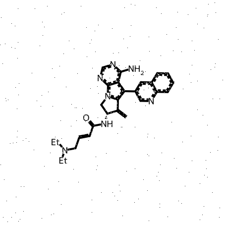 C=C1c2c(-c3cnc4ccccc4c3)c3c(N)ncnc3n2C[C@H]1NC(=O)/C=C/CN(CC)CC